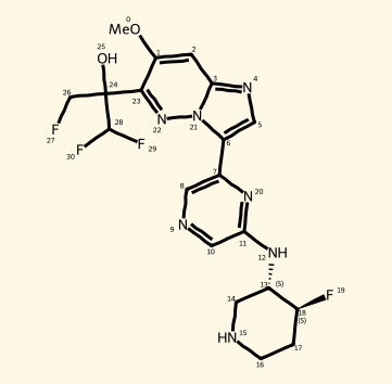 COc1cc2ncc(-c3cncc(N[C@H]4CNCC[C@@H]4F)n3)n2nc1C(O)(CF)C(F)F